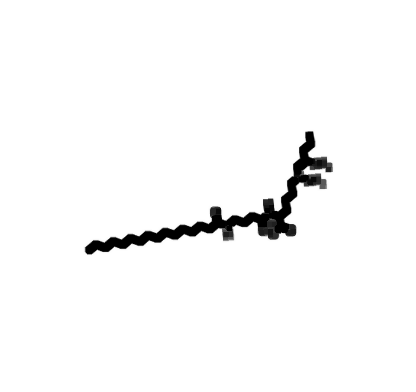 CCCCCCCCCCCCCCCC(=O)NCCCC(=O)NC(CCCCN(N)/C=C(\N)CCC)C(=O)O